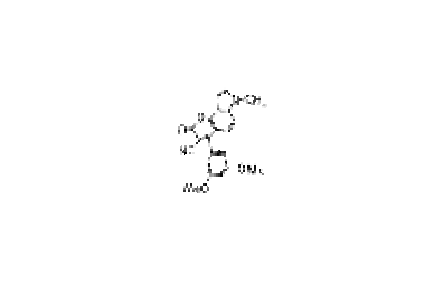 COc1cc(OC)cc(-c2c(C#N)c(=O)oc3c2ccc2c3ccn2C)c1